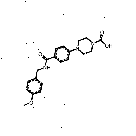 COc1ccc(CNC(=O)c2ccc(N3CCN(C(=O)O)CC3)cc2)cc1